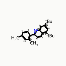 Cc1ccc(-c2ccc3c(C(C)(C)C)cc(C(C)(C)C)cc3n2)c(C)c1